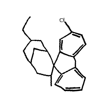 CCC1CC2CC(C)C3(c4ccccc4-c4ccc(Cl)cc43)C(C1)C2